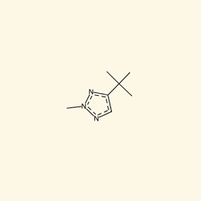 Cn1ncc(C(C)(C)C)n1